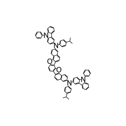 CC(C)c1ccc(N(c2ccc3c(ccc4c5ccc6oc7c8ccc(N(c9ccc(C(C)C)cc9)c9ccc%10c(c9)c9ccccc9n%10-c9ccccc9)cc8ccc7c6c5oc34)c2)c2ccc3c(c2)c2ccccc2n3-c2ccccc2)cc1